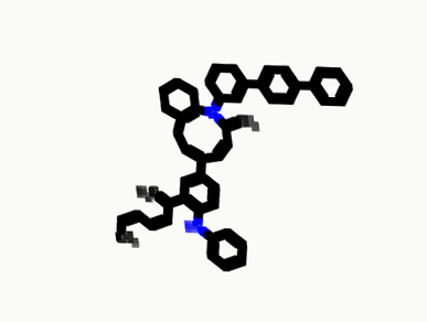 C=C(/C=C\C=C/C)c1cc(C2=C/CC3=C(CCCC3)N(C3C=C(c4ccc(-c5ccccc5)cc4)CCC3)C(=C)/C=C\2)ccc1Nc1ccccc1